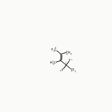 C/C(=C(/C)C(F)(F)C(F)(F)F)C(F)(F)F